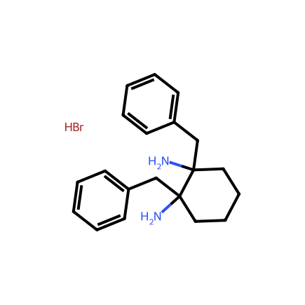 Br.NC1(Cc2ccccc2)CCCCC1(N)Cc1ccccc1